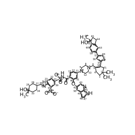 CC1(C)CCC(CN2CCN(c3ccc(C(=O)NS(=O)(=O)c4ccc(NCC5CCC(C)(O)CC5)c([N+](=O)[O-])c4)c(Oc4cnc5[nH]ccc5c4)c3)CC2)=C(c2cc(-c3ccc4c(c3)CCC4(C)O)cs2)C1